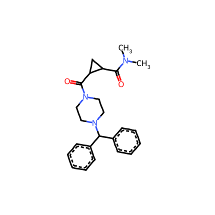 CN(C)C(=O)C1CC1C(=O)N1CCN(C(c2ccccc2)c2ccccc2)CC1